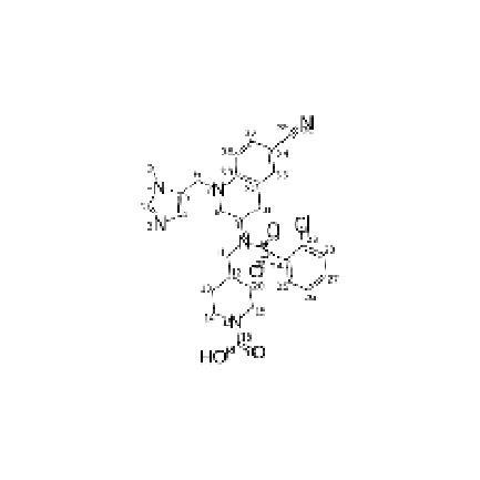 Cn1cncc1CN1CC(N(CC2CCN(C(=O)O)CC2)S(=O)(=O)c2ccccc2Cl)Cc2cc(C#N)ccc21